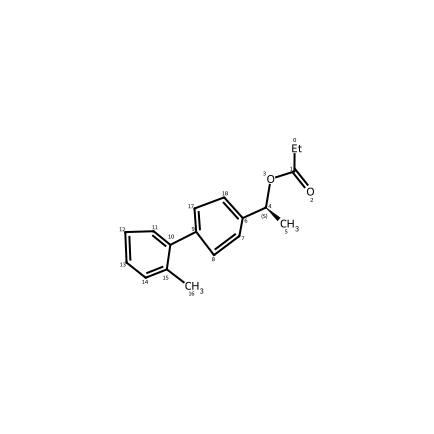 CCC(=O)O[C@@H](C)c1ccc(-c2ccccc2C)cc1